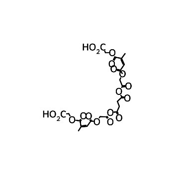 C/C(=C/C(=O)OCC(=O)OC(=O)CCC(=O)OC(=O)COC(=O)/C=C(/C)C(=O)OCC(=O)O)C(=O)OCC(=O)O